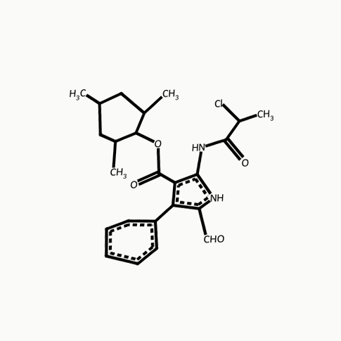 CC1CC(C)C(OC(=O)c2c(NC(=O)C(C)Cl)[nH]c(C=O)c2-c2ccccc2)C(C)C1